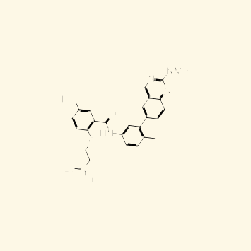 CCN(CC)CCOc1ccc(C(F)(F)F)cc1C(=O)Nc1ccc(C)c(-c2ccc3nc(NC)ncc3c2)c1